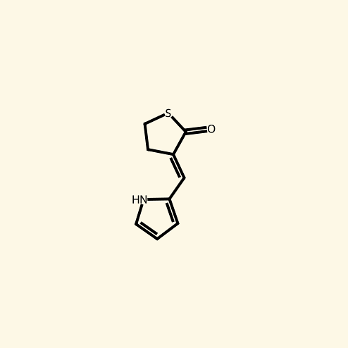 O=C1SCCC1=Cc1ccc[nH]1